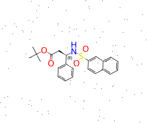 CC(C)(C)OC(=O)C[C@@H](NS(=O)(=O)c1ccc2ccccc2c1)c1ccccc1